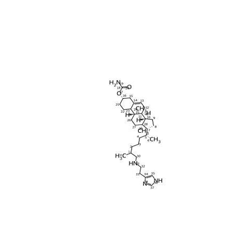 CC(CCC[C@@H](C)[C@H]1CC[C@H]2[C@@H]3CC=C4C[C@@H](OC(N)=O)CC[C@]4(C)[C@H]3CC[C@]12C)CNCCc1c[nH]cn1